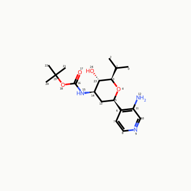 CC(C)[C@H]1O[C@@H](c2ccncc2N)C[C@@H](NC(=O)OC(C)(C)C)[C@@H]1O